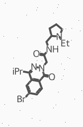 CCN1CCCC1CNC(=O)Cn1nc(C(C)C)c2cc(Br)ccc2c1=O